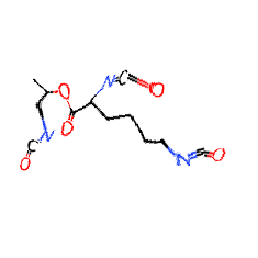 CC(CN=C=O)OC(=O)C(CCCCN=C=O)N=C=O